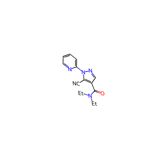 CCN(CC)C(=O)c1cnn(-c2ccccn2)c1C#N